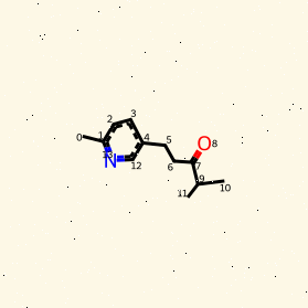 Cc1ccc(CCC(=O)C(C)C)cn1